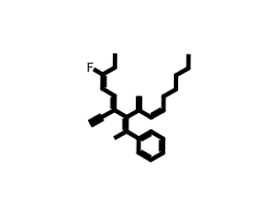 C#CC(=C\C=C(\F)CC)/C(C(=C)/C=C\CCCCC)=C(\C)c1ccccc1